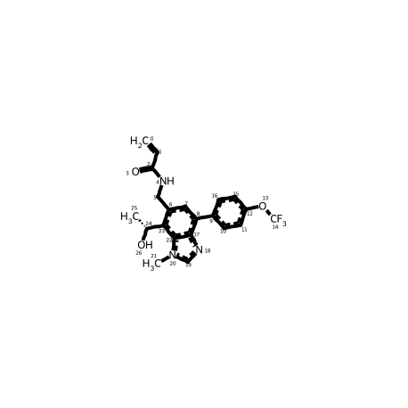 C=CC(=O)NCc1cc(-c2ccc(OC(F)(F)F)cc2)c2ncn(C)c2c1[C@@H](C)O